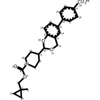 CC1(COC(=O)N2CCC(C3OCc4cc(-c5ccc(C(=O)O)cc5)ccc4O3)CC2)CC1